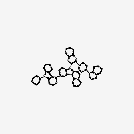 c1ccc(-n2c3ccccc3c3c(-c4ccc5c(c4)c4c6ccccc6ccc4n5-c4nc5ccccc5nc4-c4ccc(-c5cccc6ccccc56)cc4)cccc32)cc1